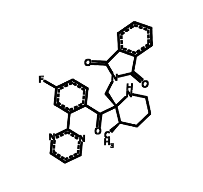 C[C@@H]1CCCN[C@@]1(CN1C(=O)c2ccccc2C1=O)C(=O)c1ccc(F)cc1-c1ncccn1